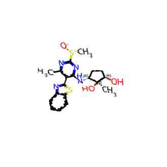 Cc1nc([S+](C)[O-])nc(N[C@@H]2CC[C@@H](O)[C@@]2(C)O)c1-c1nc2ccccc2s1